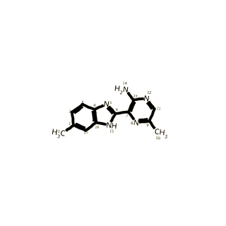 Cc1ccc2nc(-c3nc(C)cnc3N)[nH]c2c1